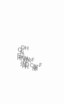 [2H]C([2H])([2H])Oc1nc(N[C@@H]2CCN(C(=O)CO)CC2(F)F)nn2cc(F)c(-c3ccc4nnn(CCF)c4c3)c12